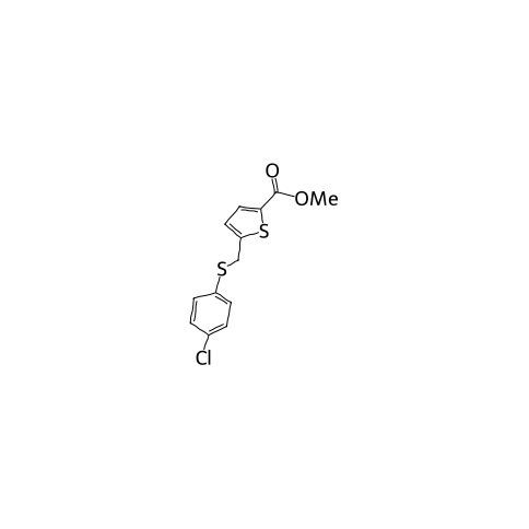 COC(=O)c1ccc(CSc2ccc(Cl)cc2)s1